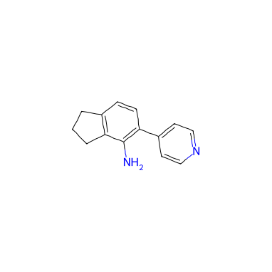 Nc1c(-c2ccncc2)ccc2c1CCC2